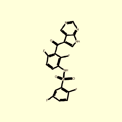 O=C(c1c(F)ccc(NS(=O)(=O)c2cc(F)ccc2F)c1F)c1c[nH]c2ncncc12